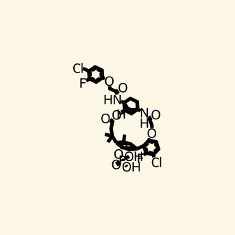 Cc1cc2cc(OP(=O)(O)O)c1C(C)(C)CC(=O)O[C@H]1CC3(CCC1(NC(=O)COc1ccc(Cl)c(F)c1)CC3)NC(=O)COc1ccc(Cl)c(F)c1-2